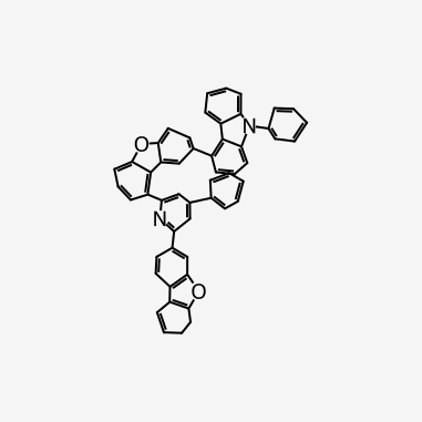 C1=Cc2c(oc3cc(-c4cc(-c5ccccc5)cc(-c5cccc6oc7ccc(-c8cccc9c8c8ccccc8n9-c8ccccc8)cc7c56)n4)ccc23)CC1